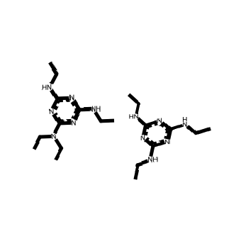 CCNc1nc(NCC)nc(N(CC)CC)n1.CCNc1nc(NCC)nc(NCC)n1